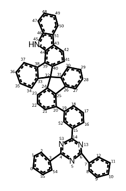 c1ccc(-c2nc(-c3ccccc3)nc(-c3cccc(-c4cccc5c4-c4ccccc4C54c5ccccc5-c5c4ccc4c5[nH]c5ccccc54)c3)n2)cc1